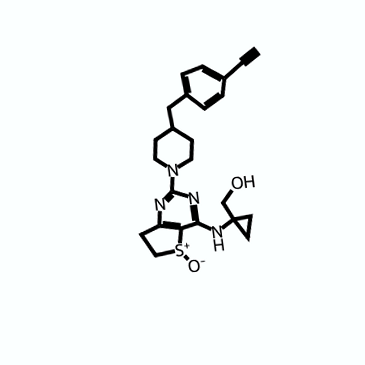 C#Cc1ccc(CC2CCN(c3nc4c(c(NC5(CO)CC5)n3)[S+]([O-])CC4)CC2)cc1